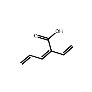 C=CC=C(C=C)C(=O)O